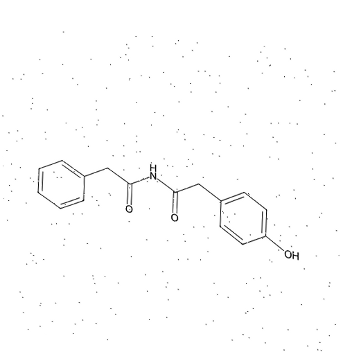 O=C(Cc1ccccc1)NC(=O)Cc1ccc(O)cc1